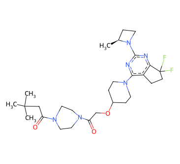 C[C@H]1CCN1c1nc(N2CCC(OCC(=O)N3CCN(C(=O)CC(C)(C)C)CC3)CC2)c2c(n1)C(F)(F)CC2